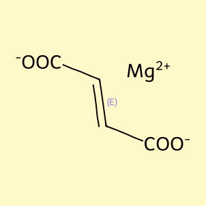 O=C([O-])/C=C/C(=O)[O-].[Mg+2]